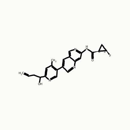 C=CCC(O)c1cc(C)c(-c2cnc3cc(NC(=O)[C@H]4C[C@H]4F)ncc3c2)cn1